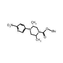 CC1CN(c2ccc([N+](=O)[O-])nc2)[C@H](C)CN1C(=O)OC(C)(C)C